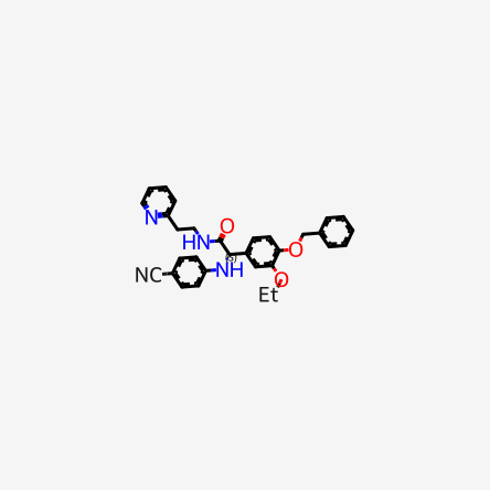 CCOc1cc([C@H](Nc2ccc(C#N)cc2)C(=O)NCCc2ccccn2)ccc1OCc1ccccc1